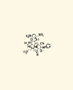 NCC[C@H](O)C(=O)N[C@@H]1C[C@H](N)C(O[C@H]2OC(CN)CCC2N)C(O)[C@H]1O[C@H]1OC(CO)[C@@H](O)[C@H](NCc2ccccc2)C1O